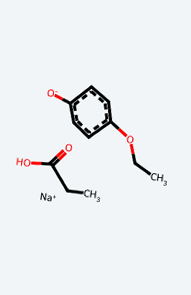 CCC(=O)O.CCOc1ccc([O-])cc1.[Na+]